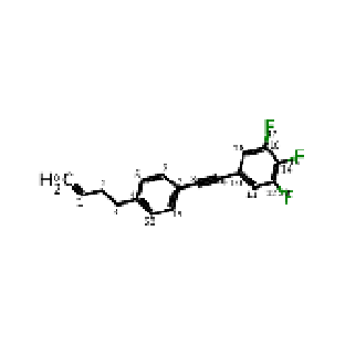 C=CCCc1ccc(C#Cc2cc(F)c(F)c(F)c2)cc1